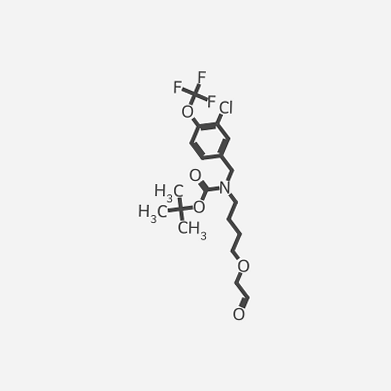 CC(C)(C)OC(=O)N(CCCCOCC=O)Cc1ccc(OC(F)(F)F)c(Cl)c1